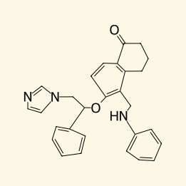 O=C1CCCc2c1ccc(OC(Cn1ccnc1)c1ccccc1)c2CNc1ccccc1